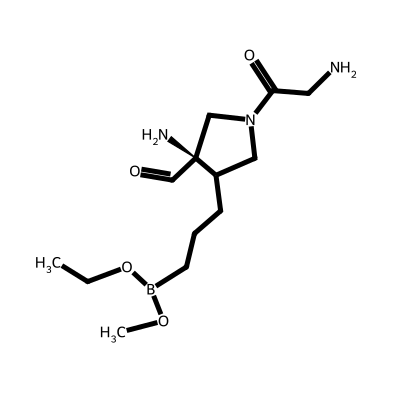 CCOB(CCCC1CN(C(=O)CN)C[C@@]1(N)C=O)OC